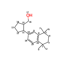 CC1(C)CCC(C)(C)c2cc(C3CCCC3CO)ccc21